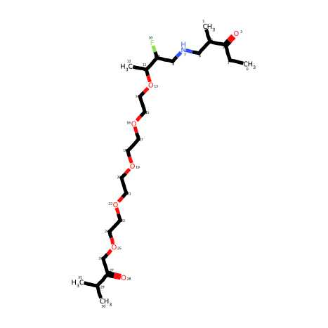 CCC(=O)C(C)CNCC(F)C(C)OCCOCCOCCOCCOCC(=O)C(C)C